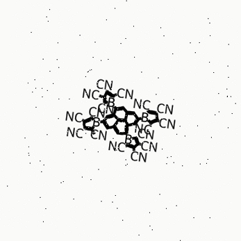 N#CC1=C(C#N)C(C#N)=C(C#N)B1c1cc2cc(B3C(C#N)=C(C#N)C(C#N)=C3C#N)c3cc(B4C(C#N)=C(C#N)C(C#N)=C4C#N)cc4cc(B5C(C#N)=C(C#N)C(C#N)=C5C#N)c(c1)c2c43